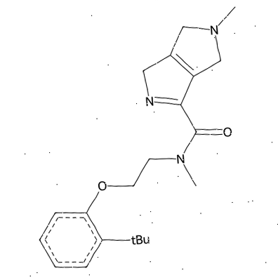 CN1CC2=C(C1)C(C(=O)N(C)CCOc1ccccc1C(C)(C)C)=NC2